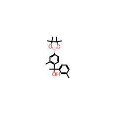 Cc1cccc(C(C)(O)c2ccc(B3OC(C)(C)C(C)(C)O3)cc2C)c1